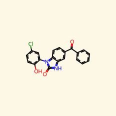 O=C(c1ccccc1)c1ccc2c(c1)[nH]c(=O)n2-c1cc(Cl)ccc1O